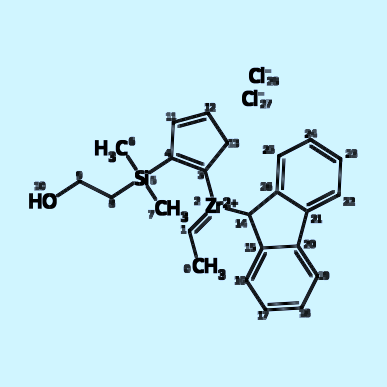 C[CH]=[Zr+2]([C]1=C([Si](C)(C)CCO)C=CC1)[CH]1c2ccccc2-c2ccccc21.[Cl-].[Cl-]